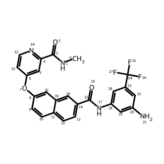 CNC(=O)c1cc(Oc2ccc3ccc(C(=O)Nc4cc(N)cc(C(F)(F)F)c4)cc3c2)ccn1